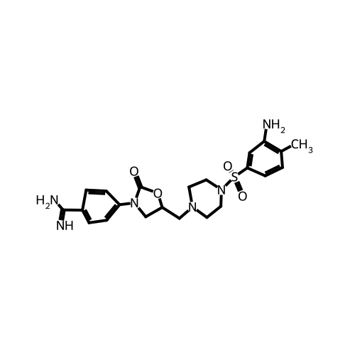 Cc1ccc(S(=O)(=O)N2CCN(CC3CN(c4ccc(C(=N)N)cc4)C(=O)O3)CC2)cc1N